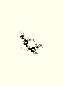 COc1cc(C(C)NC(=O)c2cc(C)nc(NC(C)=O)c2)cnc1OC[C@](C)(F)I